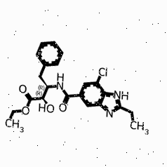 CCOC(=O)[C@H](O)[C@@H](Cc1ccccc1)NC(=O)c1cc(Cl)c2[nH]c(CC)nc2c1